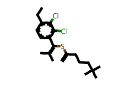 C=C(CCCC(C)(C)C)SC(=C(C)C)c1ccc(CC)c(Cl)c1Cl